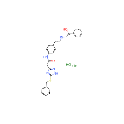 Cl.Cl.O=C(Cc1n[nH]c(SCc2ccccc2)n1)Nc1ccc(CCNC[C@H](O)c2ccccc2)cc1